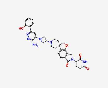 Nc1nnc(-c2ccccc2O)cc1N1CC(N2CCC3(CC2)COc2c3ccc3c2CN(C2CCC(=O)NC2=O)C3=O)C1